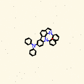 c1ccc(N(c2ccccc2)c2ccc3c(c2)c2ccc4ccn(-c5ccccc5)c4c2n3-c2ccccc2)cc1